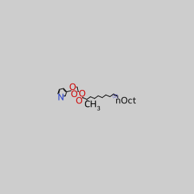 CCCCCCCC/C=C\CCCCCCC(C)C(=O)OC1COC(c2cccnc2)O1